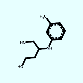 Cc1cccc(NC(CO)CCO)c1